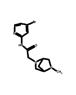 CN1CC2CC1CN2CC(=O)Nc1cc(Br)ccn1